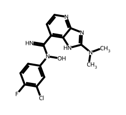 CN(C)c1nc2nccc(C(=N)N(O)c3ccc(F)c(Cl)c3)c2[nH]1